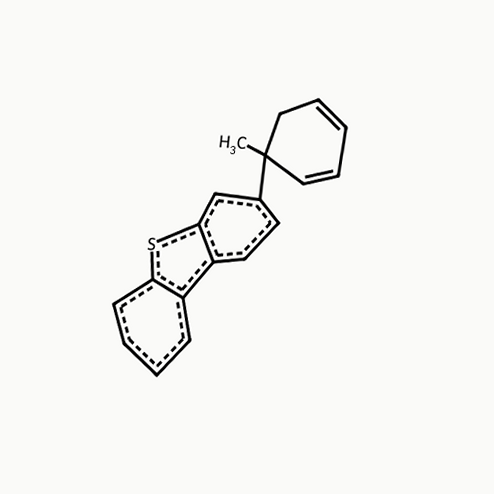 CC1(c2ccc3c(c2)sc2ccccc23)C=CC=CC1